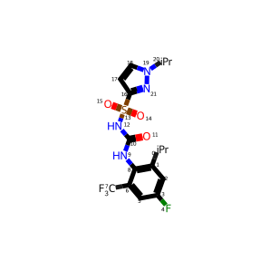 CC(C)c1cc(F)cc(C(F)(F)F)c1NC(=O)NS(=O)(=O)c1ccn(C(C)C)n1